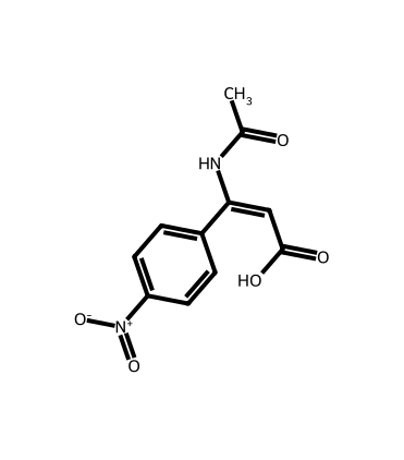 CC(=O)NC(=CC(=O)O)c1ccc([N+](=O)[O-])cc1